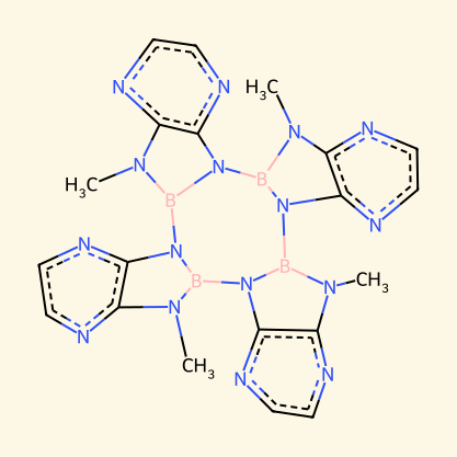 CN1B2N(B3N(C)c4nccnc4N3B3N(C)c4nccnc4N3B3N(C)c4nccnc4N23)c2nccnc21